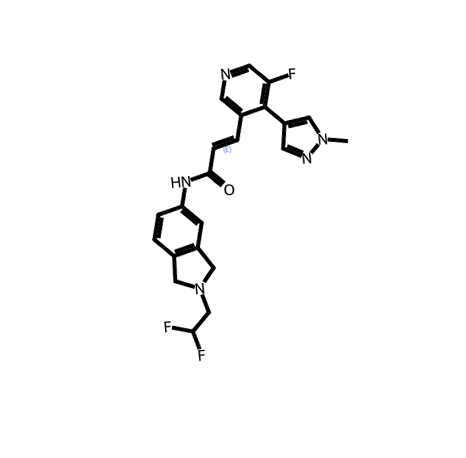 Cn1cc(-c2c(F)cncc2/C=C/C(=O)Nc2ccc3c(c2)CN(CC(F)F)C3)cn1